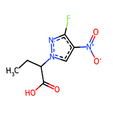 CCC(C(=O)O)n1cc([N+](=O)[O-])c(F)n1